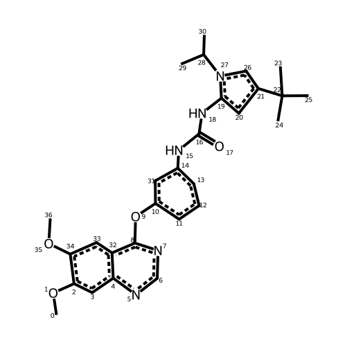 COc1cc2ncnc(Oc3cccc(NC(=O)Nc4cc(C(C)(C)C)cn4C(C)C)c3)c2cc1OC